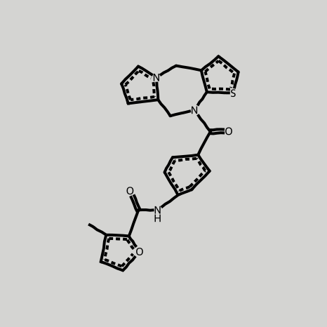 Cc1ccoc1C(=O)Nc1ccc(C(=O)N2Cc3cccn3Cc3ccsc32)cc1